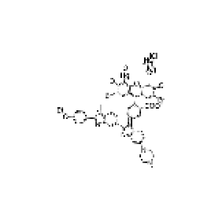 CCOc1ccc(-c2nc3cc(-c4nc5cc(N6CCN(C)CC6)ccc5[nH]4)ccc3[nH]2)cc1.Cl.Cl.Cl.O=C([O-])c1ccccc1-c1c2cc(Br)c(=O)cc-2oc2[c]([Hg][OH])c([O-])c(Br)cc12.[Na+].[Na+]